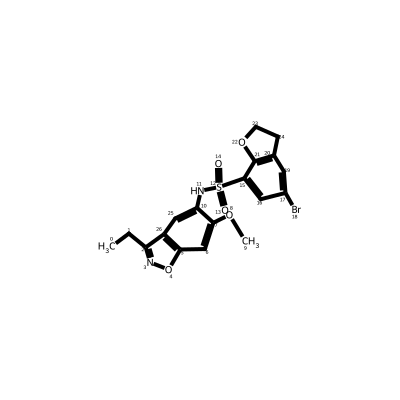 CCc1noc2cc(OC)c(NS(=O)(=O)c3cc(Br)cc4c3OCC4)cc12